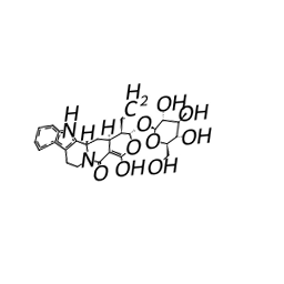 C=C[C@H]1[C@H](O[C@@H]2O[C@H](CO)[C@@H](O)[C@H](O)[C@H]2O)OC(O)=C2C(=O)N3CCc4c([nH]c5ccccc45)[C@@H]3C[C@H]21